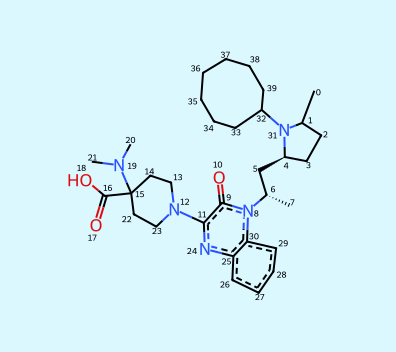 CC1CC[C@@H](C[C@H](C)n2c(=O)c(N3CCC(C(=O)O)(N(C)C)CC3)nc3ccccc32)N1C1CCCCCCC1